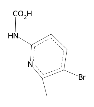 Cc1nc(NC(=O)O)ccc1Br